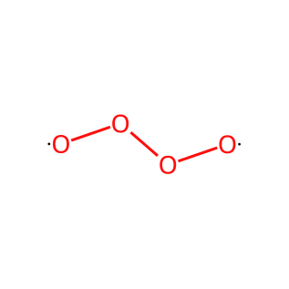 [O]OO[O]